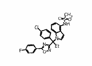 CCC(c1ccc(Cl)cc1)(c1noc(-c2ccc(F)cc2)n1)n1ccc2c(NS(C)(=O)=O)cccc21